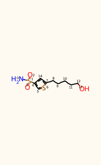 NS(=O)(=O)c1csc(CCCCCO)c1